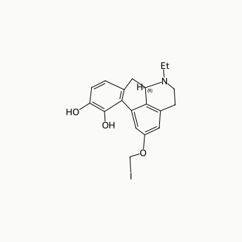 CCN1CCc2cc(OCI)cc3c2[C@H]1Cc1ccc(O)c(O)c1-3